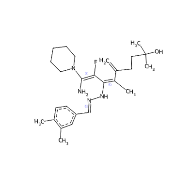 C=C(CCC(C)(C)O)/C(C)=C(N/N=C/c1ccc(C)c(C)c1)\C(F)=C(/N)N1CCCCC1